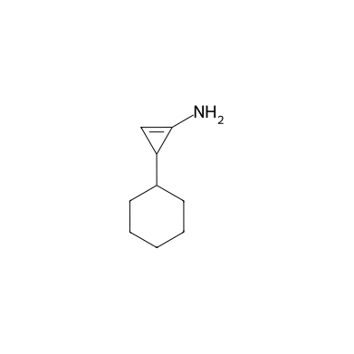 NC1=CC1C1CCCCC1